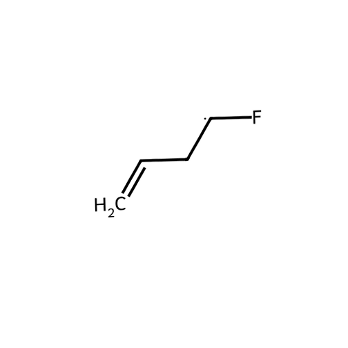 C=CC[CH]F